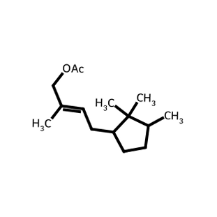 CC(=O)OC/C(C)=C/CC1CCC(C)C1(C)C